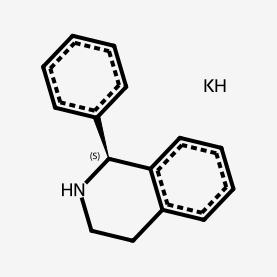 [KH].c1ccc([C@@H]2NCCc3ccccc32)cc1